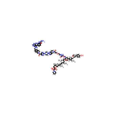 CO[C@@H](CC1CCC[C@](O)(C(=O)C(=O)N2CCCCC2)O1)/C(C)=C/C=C/C(C)C[C@@H](C)C[C@@H](C)/C(C[C@H](O)/C(C)=C/[C@@H](C)CC[C@@H](CC[C@H]1CC[C@H](O)CC1)OC=O)=N\OCC(=O)NCCOCCC(=O)N1CCc2nc(N3CCN(c4ncc(C(=O)N5CCc6cc(Cn7nc(-c8ccc9oc(N)nc9c8)c8c(N)ncnc87)ccc6C5)cn4)CC3)ncc2C1